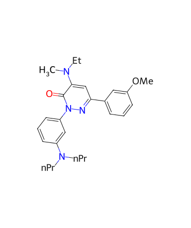 CCCN(CCC)c1cccc(-n2nc(-c3cccc(OC)c3)cc(N(C)CC)c2=O)c1